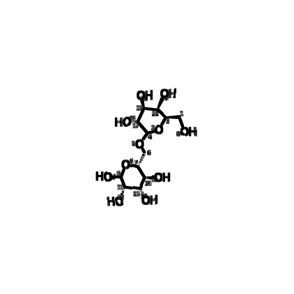 OC[C@H]1OC(OC[C@H]2OC(O)[C@@H](O)[C@@H](O)[C@@H]2O)[C@H](O)[C@@H](O)[C@H]1O